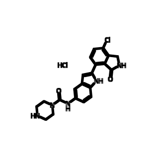 Cl.O=C1NCc2c(Cl)ccc(-c3cc4cc(NC(=O)N5CCNCC5)ccc4[nH]3)c21